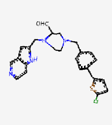 O=CC1CN(Cc2ccc(-c3ccc(Cl)s3)cc2)CCN1Cc1cc2cnccc2[nH]1